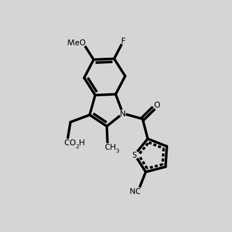 COC1=C(F)CC2C(=C1)C(CC(=O)O)=C(C)N2C(=O)c1ccc(C#N)s1